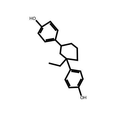 CCC1(c2ccc(O)cc2)CCCC(c2ccc(O)cc2)C1